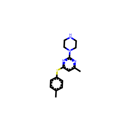 Cc1ccc(Sc2cc(C)nc(N3CCNCC3)n2)cc1